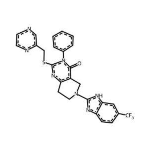 O=c1c2c(nc(SCc3cnccn3)n1-c1ccccc1)CCN(c1nc3ccc(C(F)(F)F)cc3[nH]1)C2